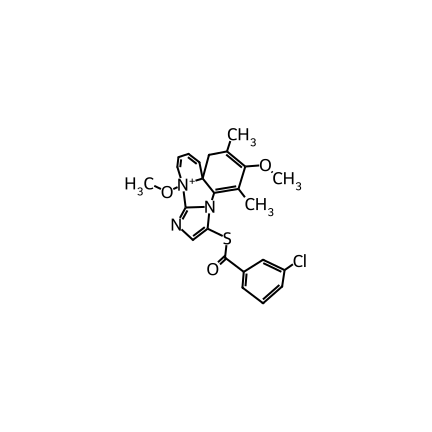 COC1=C(C)CC23C=CC=C[N+]2(OC)c2ncc(SC(=O)c4cccc(Cl)c4)n2C3=C1C